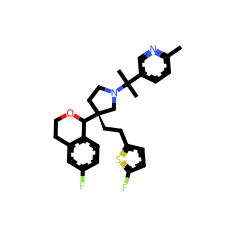 Cc1ccc(C(C)(C)N2CC[C@@](CCc3ccc(F)s3)(C3OCCc4cc(F)ccc43)C2)cn1